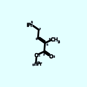 CCCOC(=O)C(C)=CCC(C)C